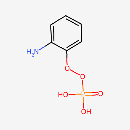 Nc1ccccc1OOP(=O)(O)O